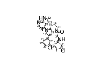 O=C(CNc1cc(Cl)cc(Cl)c1)N1CCCC(N(CCc2ccccc2)c2ncnc3[nH]ccc23)C1